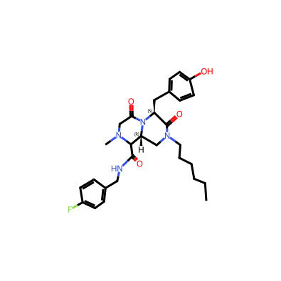 CCCCCCN1C[C@@H]2C(C(=O)NCc3ccc(F)cc3)N(C)CC(=O)N2[C@@H](Cc2ccc(O)cc2)C1=O